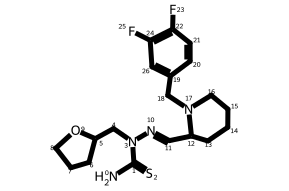 NC(=S)N(CC1CCCO1)N=CC1CCCCN1Cc1ccc(F)c(F)c1